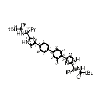 Cc1cc(-c2ccc(-c3c[nH]c(C(NC(=O)C(C)(C)C)C(C)C)n3)cc2)ccc1-c1c[nH]c(C(NC(=O)C(C)(C)C)C(C)C)n1